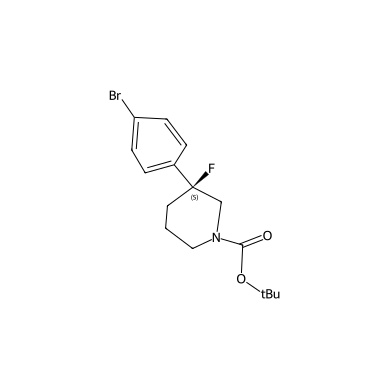 CC(C)(C)OC(=O)N1CCC[C@](F)(c2ccc(Br)cc2)C1